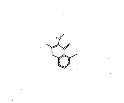 C=C1C(NC)=C(C)Cc2cccc(C)c21